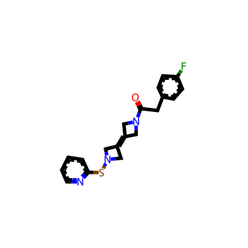 O=C(Cc1ccc(F)cc1)N1CC(=C2CN(Sc3ccccn3)C2)C1